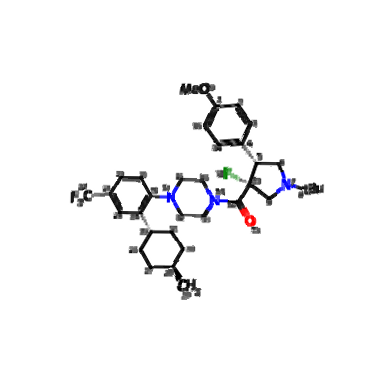 COc1ccc([C@@H]2CN(C(C)(C)C)C[C@@]2(F)C(=O)N2CCN(c3ccc(C(F)(F)F)cc3[C@H]3CC[C@H](C)CC3)CC2)cc1